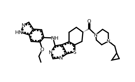 CCOc1cc2[nH]ncc2cc1Nc1ncnc2sc3c(c12)CC[C@H](C(=O)N1CCN(CC2CC2)CC1)C3